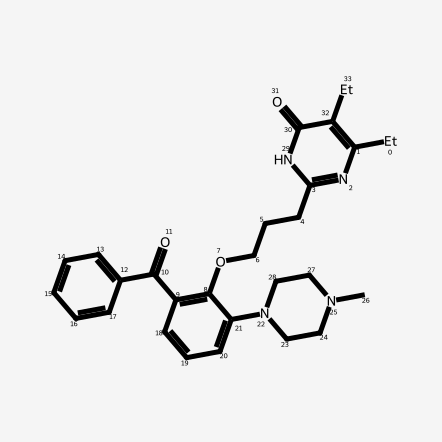 CCc1nc(CCCOc2c(C(=O)c3ccccc3)cccc2N2CCN(C)CC2)[nH]c(=O)c1CC